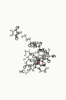 CC[C@H](C)[C@@H]([C@@H](CC(=O)N1CCC[C@H]1[C@H](OC)[C@@H](C)C(=O)N[C@@H](Cc1c[nH]c2ccccc12)C(=O)O)OC)N(C)[C@H](C(=O)NC(=O)[C@H](C(C)C)N(C)CCCC(=O)NNC(=O)CCCCCN1C(=O)C=CC1=O)C(C)C